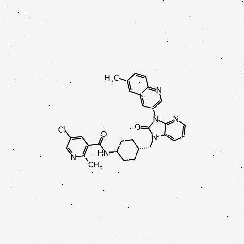 Cc1ccc2ncc(-n3c(=O)n(C[C@H]4CC[C@H](NC(=O)c5cc(Cl)cnc5C)CC4)c4cccnc43)cc2c1